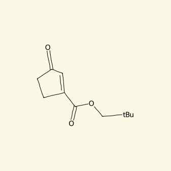 CC(C)(C)COC(=O)C1=CC(=O)CC1